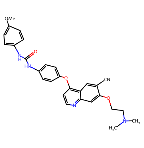 COc1ccc(NC(=O)Nc2ccc(Oc3ccnc4cc(OCCN(C)C)c(C#N)cc34)cc2)cc1